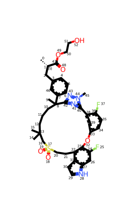 C[C@@H](Cc1cccc(C2(C)CCCC(C)(C)CS(=O)(=O)CCc3c(c(F)cc4[nH]ccc34)Oc3ccc(F)c(c3)-c3nc2nn3C)c1)C(=O)OCCO